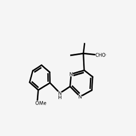 COc1ccccc1Nc1nccc(C(C)(C)[C]=O)n1